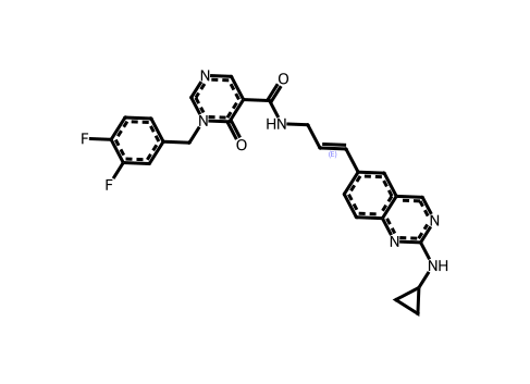 O=C(NC/C=C/c1ccc2nc(NC3CC3)ncc2c1)c1cncn(Cc2ccc(F)c(F)c2)c1=O